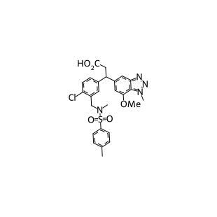 COc1cc(C(CC(=O)O)c2ccc(Cl)c(CN(C)S(=O)(=O)c3ccc(C)cc3)c2)cc2nnn(C)c12